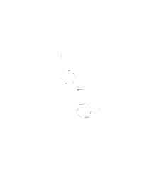 Cc1cc(OC(=O)c2ccc(CI)cc2)cc(F)c1F